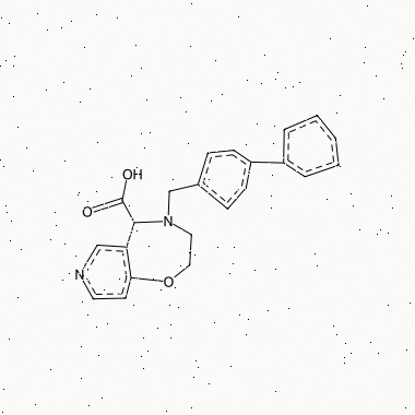 O=C(O)C1c2cnccc2OCCN1Cc1ccc(-c2ccccc2)cc1